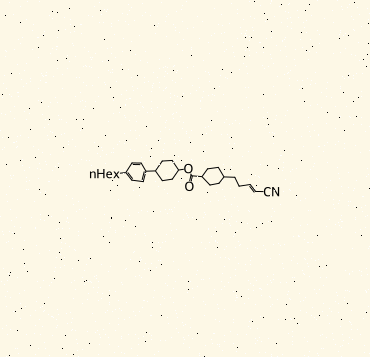 CCCCCCc1ccc(C2CCC(OC(=O)C3CCC(CC/C=C/C#N)CC3)CC2)cc1